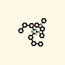 c1ccc(-c2cccc(-c3cccc(-c4nc(-c5cccc(-c6cccc(-c7ccccc7)c6)c5)nc(-n5c6ccccc6c6ccc7c(c8ccccc8n7-c7ccccc7)c65)n4)c3)c2)cc1